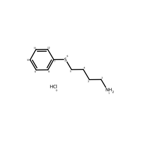 Cl.NCCCCSc1ccccc1